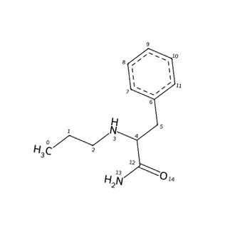 CCCNC(Cc1ccccc1)C(N)=O